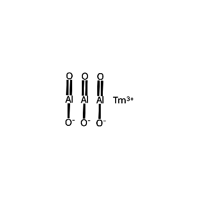 [O]=[Al][O-].[O]=[Al][O-].[O]=[Al][O-].[Tm+3]